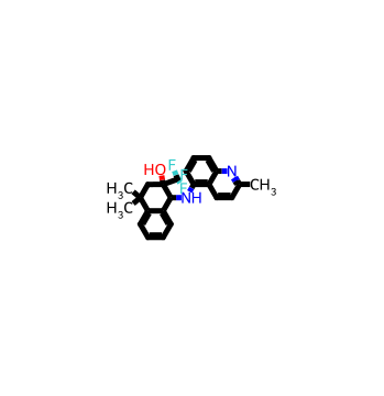 Cc1ccc2c(NC3c4ccccc4C(C)(C)CC3(O)C(F)(F)F)cccc2n1